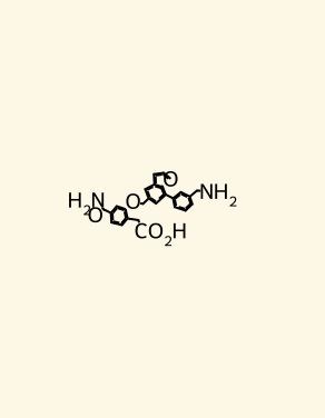 NCc1cccc(-c2cc(COc3cc(C(N)=O)ccc3CC(=O)O)cc3ccoc23)c1